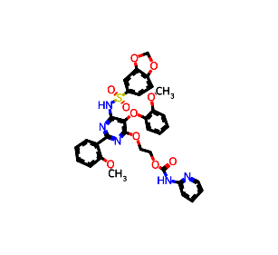 COc1ccccc1Oc1c(NS(=O)(=O)c2ccc3c(c2)OCO3)nc(-c2ccccc2OC)nc1OCCOC(=O)Nc1ccccn1